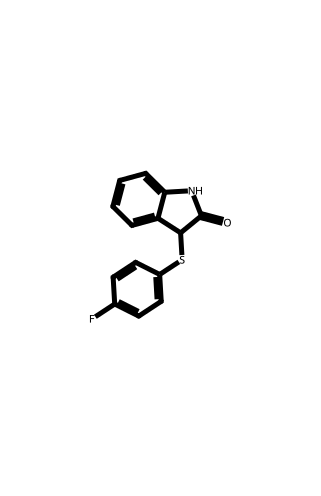 O=C1Nc2ccccc2C1Sc1ccc(F)cc1